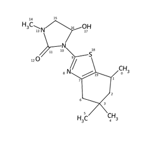 CC1CC(C)(C)Cc2nc(N3C(=O)N(C)CC3O)sc21